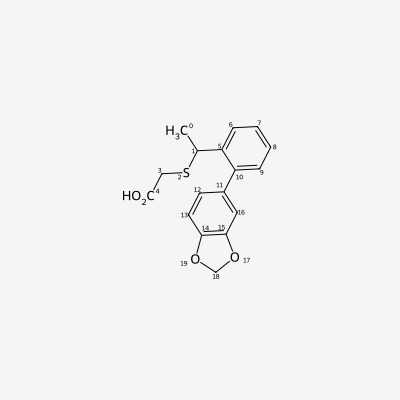 CC(SCC(=O)O)c1ccccc1-c1ccc2c(c1)OCO2